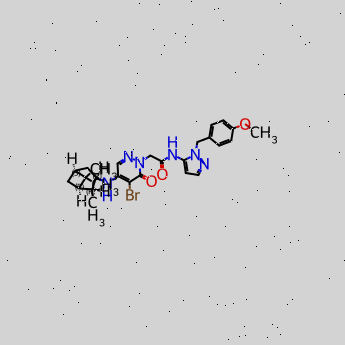 COc1ccc(Cn2nccc2NC(=O)Cn2ncc(N[C@@H]3C[C@@H]4C[C@H]([C@H]3C)C4(C)C)c(Br)c2=O)cc1